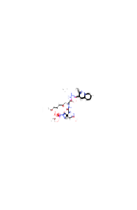 CCC(=O)CCCCC[C@H](NC(=O)C1NC(=O)CC12CN(C(=O)OC(C)(C)C)C2)c1nnc(-c2cc3ccccc3nc2OC)o1